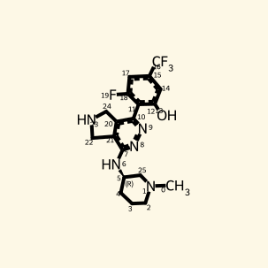 CN1CCC[C@@H](Nc2nnc(-c3c(O)cc(C(F)(F)F)cc3F)c3c2CNC3)C1